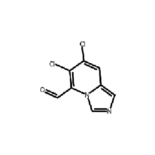 O=Cc1c(Cl)c(Cl)cc2cncn12